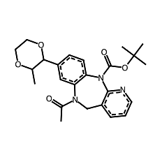 CC(=O)N1Cc2cccnc2N(C(=O)OC(C)(C)C)c2ccc(C3OCCOC3C)cc21